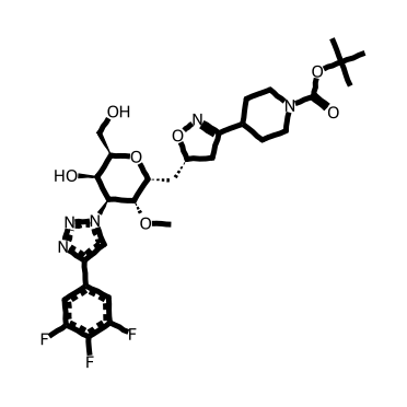 CO[C@@H]1[C@@H](n2cc(-c3cc(F)c(F)c(F)c3)nn2)[C@@H](O)[C@@H](CO)O[C@@H]1C[C@H]1CC(C2CCN(C(=O)OC(C)(C)C)CC2)=NO1